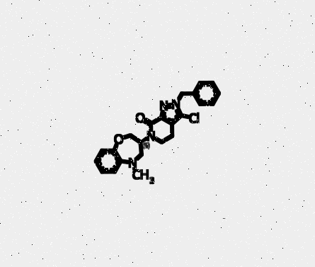 CN1C[C@H](N2CCc3c(nn(Cc4ccccc4)c3Cl)C2=O)COc2ccccc21